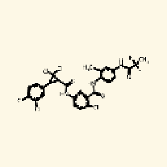 Cc1cc(NC(=O)C(C)(F)F)ccc1NC(=O)c1cc(NC(=O)C2C(c3ccc(Cl)c(Cl)c3)C2(Cl)Cl)ccc1Cl